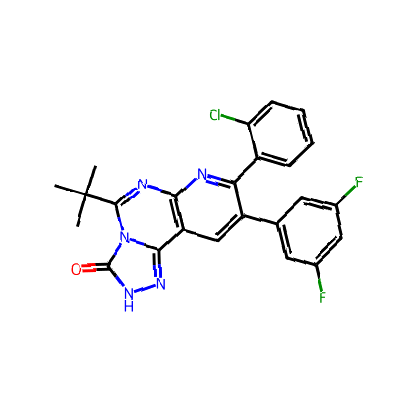 CC(C)(C)c1nc2nc(-c3ccccc3Cl)c(-c3cc(F)cc(F)c3)cc2c2n[nH]c(=O)n12